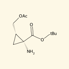 CC(=O)OC[C@H]1C[C@]1(N)C(=O)OC(C)(C)C